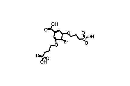 O=C(O)C1=CC(OCCCS(=O)(=O)O)C(Br)C(OCCCS(=O)(=O)O)=C1